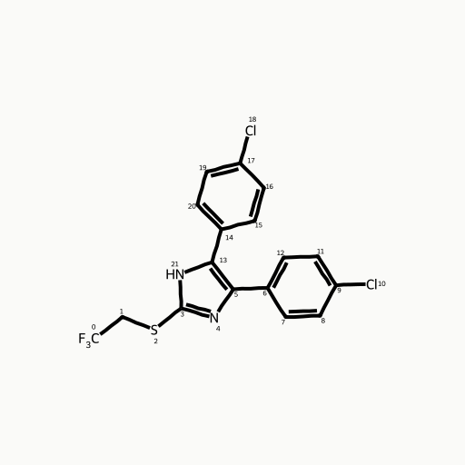 FC(F)(F)CSc1nc(-c2ccc(Cl)cc2)c(-c2ccc(Cl)cc2)[nH]1